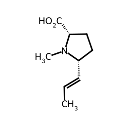 CC=C[C@H]1CC[C@@H](C(=O)O)N1C